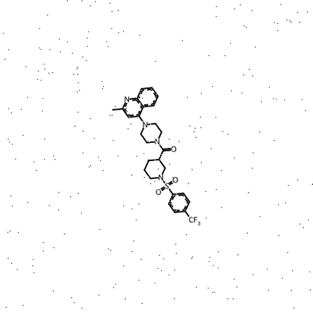 Cc1cc(N2CCN(C(=O)C3CCCN(S(=O)(=O)c4ccc(C(F)(F)F)cc4)C3)CC2)c2ccccc2n1